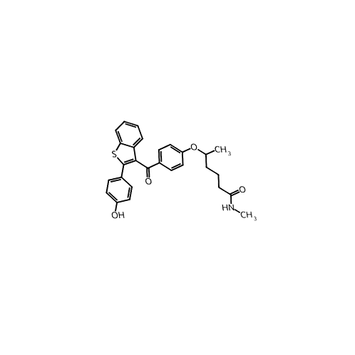 CNC(=O)CCCC(C)Oc1ccc(C(=O)c2c(-c3ccc(O)cc3)sc3ccccc23)cc1